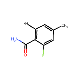 [2H]c1cc(C(F)(F)F)cc(F)c1C(N)=O